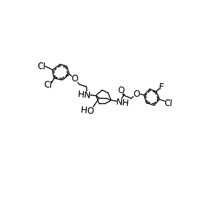 O=C(COc1ccc(Cl)c(F)c1)NC12CCC(NCCOc3ccc(Cl)c(Cl)c3)(CC1)C(O)C2